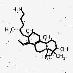 C[C@H](CCCN)[C@H]1CC=C2C3=C(CC[C@@]21C)[C@@]1(C)CC[C@H](O)C(C)(C)[C@@H]1CC3